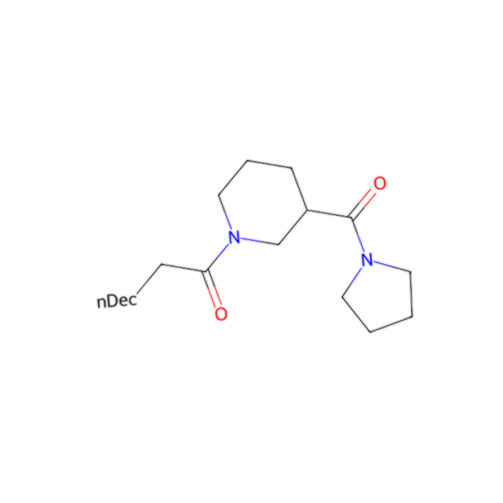 CCCCCCCCCCCC(=O)N1CCCC(C(=O)N2CCCC2)C1